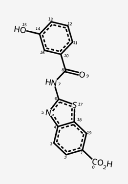 O=C(O)c1ccc2nc(NC(=O)c3cccc(O)c3)sc2c1